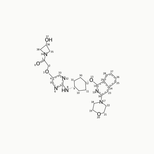 O=C(COc1cnc(N[C@H]2CC[C@@H](Oc3nc(N4CCOCC4)cc4ccccc34)CC2)nc1)N1CC(O)C1